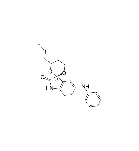 O=C1Nc2ccc(Nc3ccccc3)cc2[C@]12OCCC(CCF)O2